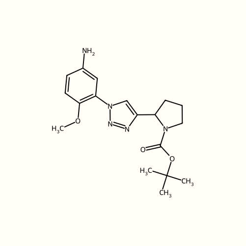 COc1ccc(N)cc1-n1cc(C2CCCN2C(=O)OC(C)(C)C)nn1